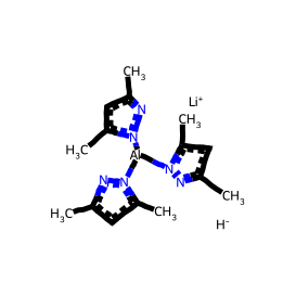 Cc1cc(C)[n]([Al]([n]2nc(C)cc2C)[n]2nc(C)cc2C)n1.[H-].[Li+]